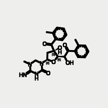 Cc1ccccc1C(=O)C(O)[C@H]1O[C@@H](N2CN(C)C(=N)NC2=O)C[C@@]1(O)C(=O)c1ccccc1C